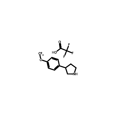 FC(F)(F)Oc1ccc(C2CCNC2)cc1.O=C(O)C(F)(F)F